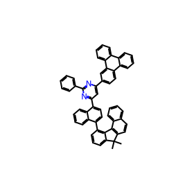 CC1(C)c2cccc(-c3ccc(-c4cc(-c5ccc6c7ccccc7c7ccccc7c6c5)nc(-c5ccccc5)n4)c4ccccc34)c2-c2c1ccc1ccccc21